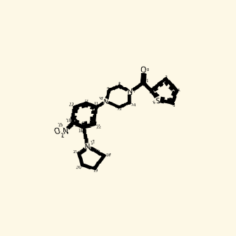 O=C(c1cccs1)N1CCN(c2ccc([N+](=O)[O-])c(N3CCCC3)c2)CC1